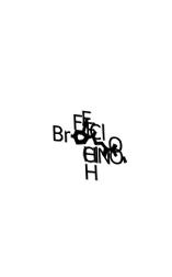 CCOC(=O)C(=N)CCC(Cl)c1ccc(Br)cc1C(F)(F)F.Cl